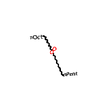 CCCCC/C=C\C/C=C/CCCCCCCCOC(=O)CCCCCCC/C=C\CCCCCCCC